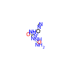 NC(=O)CNc1ncc(C(N)=O)c(Nc2cccc(-n3ccnc3)c2)n1